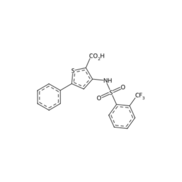 O=C(O)c1sc(-c2ccccc2)cc1NS(=O)(=O)c1ccccc1C(F)(F)F